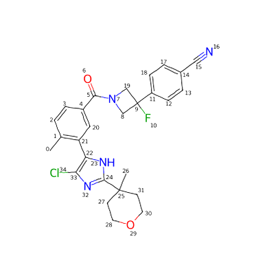 Cc1ccc(C(=O)N2CC(F)(c3ccc(C#N)cc3)C2)cc1-c1[nH]c(C2(C)CCOCC2)nc1Cl